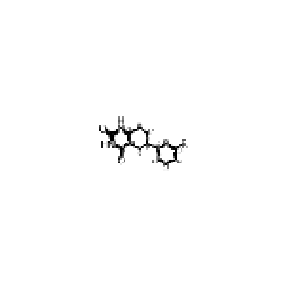 O=c1[nH]c2c(c(=O)[nH]1)CC(c1cccc(F)c1)CC2